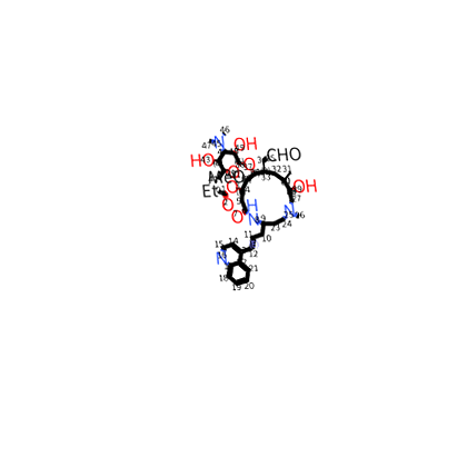 CCC(=O)O[C@@H]1CC(=O)NC(C/C=C/c2ccnc3ccccc23)CCN(C)C[C@H](O)[C@H](C)C[C@H](CC=O)[C@H](O[C@@H]2OC(C)[C@@H](O)C(N(C)C)C2O)[C@H]1OC